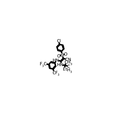 CCC(C)(C)NC(Nc1cc(C(F)(F)F)cc(C(F)(F)F)c1)=C(C#N)S(=O)(=O)c1ccc(Cl)cc1